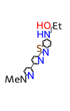 CCC(O)CNc1ccc2nc(-c3ccc(-c4ccc(NC)nc4)cn3)sc2c1